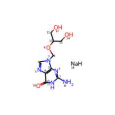 Nc1nc2c(ncn2COC(CO)CO)c(=O)[nH]1.[NaH]